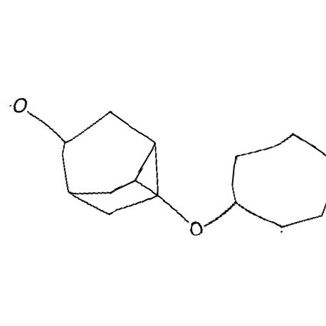 [O]C1CC2CCC1CC2OC1[CH]CCCC1